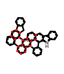 Cc1cc2c(c(Nc3c(-c4ccccc4)cccc3N(c3ccccc3-c3c(-c4ccccc4)ccc4c3[nH]c3ccccc34)c3ccccc3N(c3ccccc3)c3ccccc3)c1C)Cc1ccccc1-2